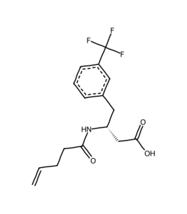 C=CCCC(=O)N[C@@H](CC(=O)O)Cc1cccc(C(F)(F)F)c1